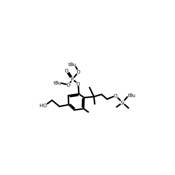 Cc1cc(CCO)cc(OP(=O)(OC(C)(C)C)OC(C)(C)C)c1C(C)(C)CCO[Si](C)(C)C(C)(C)C